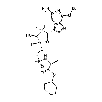 CCOc1nc(N)nc2c1ncn2[C@@H]1O[C@](F)(OO[P@](C)(=O)N[C@@H](C)C(=O)OC2CCCCC2)[C@@H](O)[C@@]1(C)F